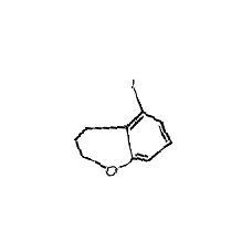 Ic1cccc2c1CCCO2